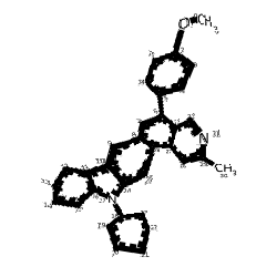 COc1ccc(-c2cc3cc4c5ccccc5n(-c5ccccc5)c4cc3c3cc(C)ncc23)cc1